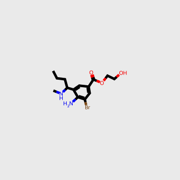 CCCC(NC)c1cc(C(=O)OCCO)cc(Br)c1N